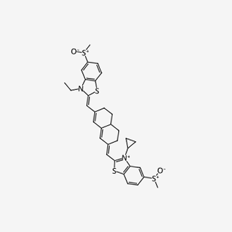 CCN1/C(=C/C2=CC3=C/C(=C/c4sc5ccc([S+](C)[O-])cc5[n+]4C4CC4)CCC3CC2)Sc2ccc([S+](C)[O-])cc21